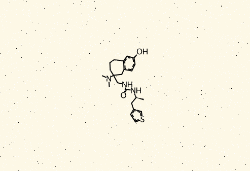 C[C@@H](Cc1ccsc1)NC(=O)NCC1(N(C)C)CCCc2cc(O)ccc2C1